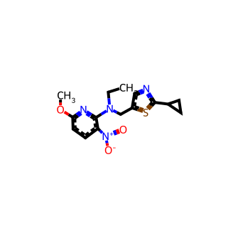 CCN(Cc1cnc(C2CC2)s1)c1nc(OC)ccc1[N+](=O)[O-]